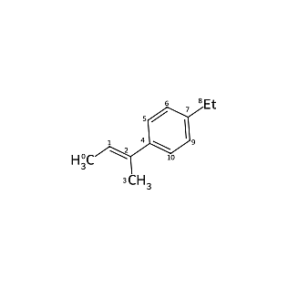 C/C=C(\C)c1ccc(CC)cc1